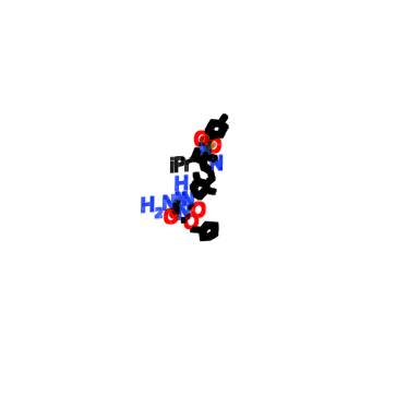 Cc1ccc(S(=O)(=O)n2cc(C(C)C)c3cc(Cc4c(C)cc(N5NC(N)C(=O)N(COCc6ccccc6)C5=O)cc4C)ncc32)cc1